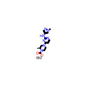 C[C@H]1CN(c2ccnc(Nc3cnn(C)c3)n2)CCN1C(=O)OC(C)(C)C